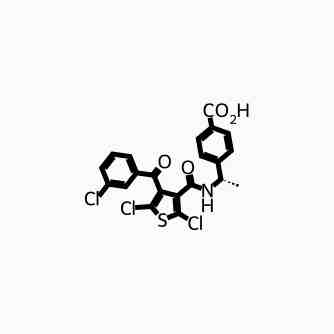 C[C@H](NC(=O)c1c(Cl)sc(Cl)c1C(=O)c1cccc(Cl)c1)c1ccc(C(=O)O)cc1